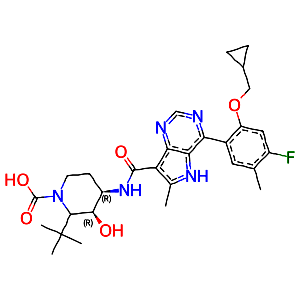 Cc1cc(-c2ncnc3c(C(=O)N[C@@H]4CCN(C(=O)O)C(C(C)(C)C)[C@@H]4O)c(C)[nH]c23)c(OCC2CC2)cc1F